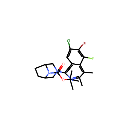 Cc1nc(N2CC3CCC(C2)N3C(=O)OC(C)(C)C)c2cc(Cl)c(Br)c(F)c2c1C